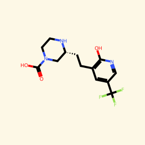 O=C(O)N1CCN[C@H](CCc2cc(C(F)(F)F)cnc2O)C1